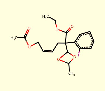 CCOC(=O)C(C/C=C\COC(C)=O)(c1ccccc1I)C1OC(C)O1